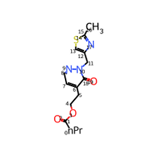 CCCC(=O)OCCc1ccnn(Cc2csc(C)n2)c1=O